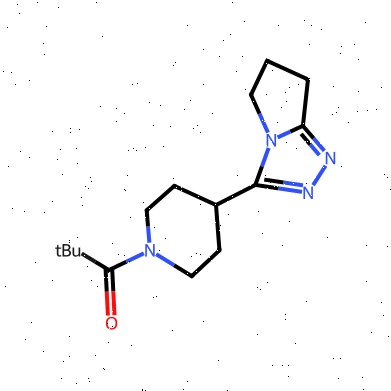 CC(C)(C)C(=O)N1CCC(c2nnc3n2CCC3)CC1